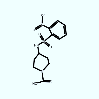 O=C(O)N1CCC(NS(=O)(=O)c2ccccc2[N+](=O)[O-])CC1